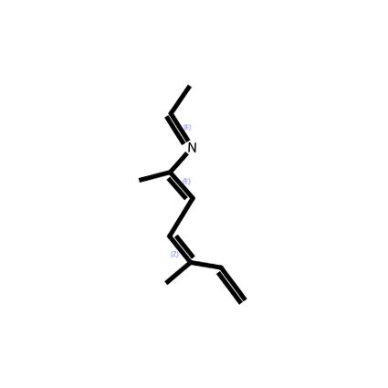 C=C\C(C)=C/C=C(C)/N=C/C